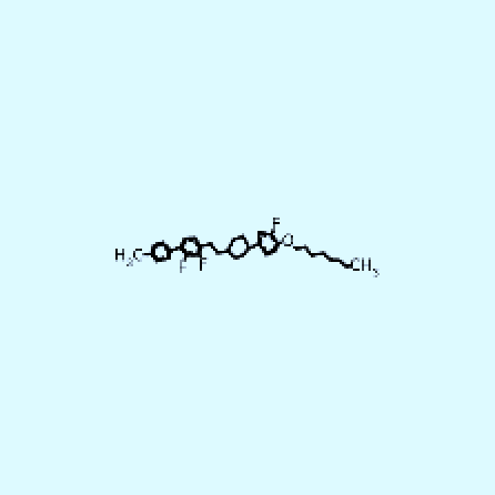 CCCCCCCCOc1ccc(C2CCC(CCc3ccc(-c4ccc(C)cc4)c(F)c3F)CC2)cc1F